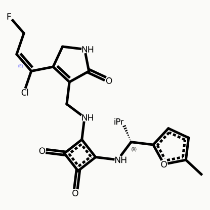 Cc1ccc([C@H](Nc2c(NCC3=C(/C(Cl)=C\CF)CNC3=O)c(=O)c2=O)C(C)C)o1